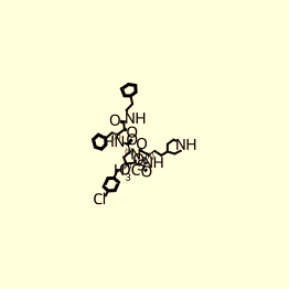 CS(=O)(=O)N[C@H](CCC1CCNCC1)C(=O)N1C[C@H](OCc2ccc(Cl)cc2)C[C@H]1C(=O)N[C@@H](Cc1ccccc1)C(=O)C(=O)NCCc1ccccc1